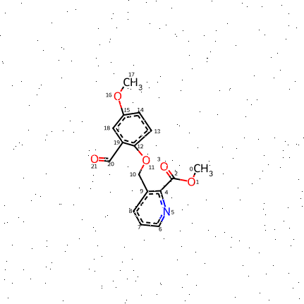 COC(=O)c1ncccc1COc1ccc(OC)cc1C=O